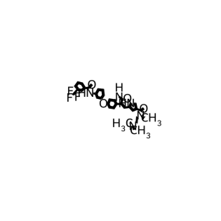 CN(C)CCN(C)C(=O)c1c[nH]c(C=C2C(=O)Nc3cc(Oc4cccc(NC(=O)c5cccc(C(F)(F)F)c5)c4)ccc32)c1